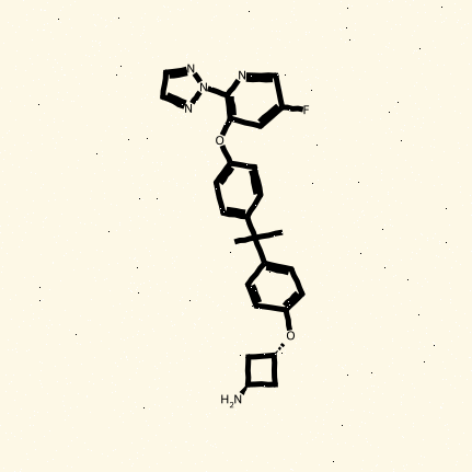 CC(C)(c1ccc(Oc2cc(F)cnc2-n2nccn2)cc1)c1ccc(O[C@H]2C[C@H](N)C2)cc1